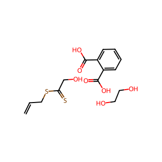 C=CCSC(=S)CO.O=C(O)c1ccccc1C(=O)O.OCCO